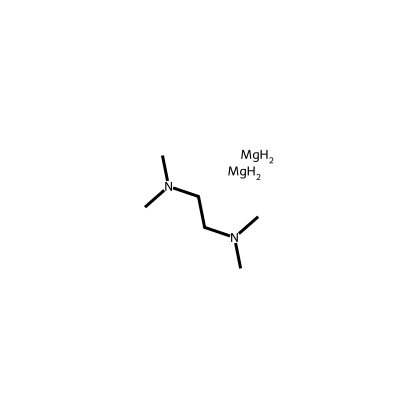 CN(C)CCN(C)C.[MgH2].[MgH2]